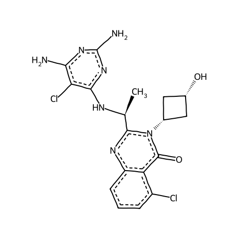 C[C@H](Nc1nc(N)nc(N)c1Cl)c1nc2cccc(Cl)c2c(=O)n1[C@H]1C[C@@H](O)C1